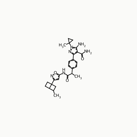 CC(C(=O)Nc1cc(C23CCC2C(C)C3)no1)c1ccc(-c2nn(C3(C)CC3)c(N)c2C(N)=O)cc1